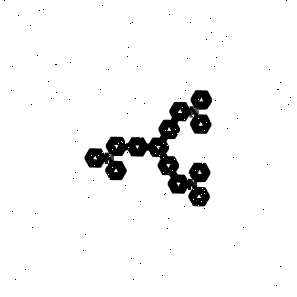 c1ccc(N(c2ccccc2)c2cccc(-c3ccc(-c4cc(-c5ccc(-c6cccc(N(c7ccccc7)c7ccccc7)c6)cc5)cc(-c5ccc(-c6cccc(N(c7ccccc7)c7ccccc7)c6)cc5)c4)cc3)c2)cc1